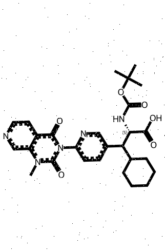 Cn1c(=O)n(-c2ccc(C(C3CCCCC3)[C@H](NC(=O)OC(C)(C)C)C(=O)O)cn2)c(=O)c2ccncc21